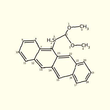 COC(OC)[SiH2]c1c2ccccc2cc2cc3ccccc3cc12